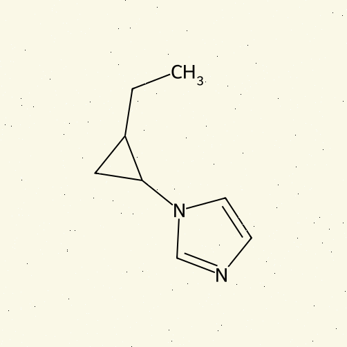 CCC1CC1n1ccnc1